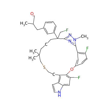 CC(C=O)Cc1cccc(C2(CF)CCCC(C)(C)CSCCc3c(c(F)cc4[nH]ccc34)Oc3ccc(F)c(c3)-c3nc2nn3C)c1